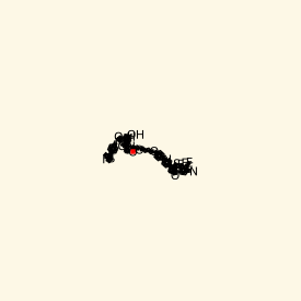 Cc1ncsc1-c1ccc(CNC(=O)[C@@H]2C[C@@H](O)CN2C(=O)[C@@H](NC(=O)COCCCCOc2ccc(-c3ccc(N4C(=S)N(c5ccc(C#N)c(C(F)(F)F)c5F)C(=O)C4(C)C)cn3)cc2)C(C)(C)C)cc1